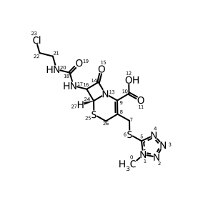 Cn1nnnc1SCC1=C(C(=O)O)N2C(=O)C(NC(=O)NCCCl)[C@H]2SC1